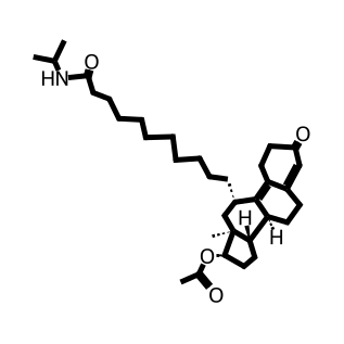 CC(=O)O[C@H]1CC[C@H]2[C@@H]3CCC4=CC(=O)CCC4=C3[C@@H](CCCCCCCCCCC(=O)NC(C)C)C[C@]12C